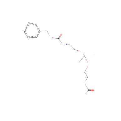 CC(C)(C)[C@](C)(OCCNC(=O)OCc1ccccc1)OCCNC(=O)C(F)(F)F